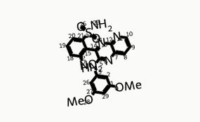 COc1cc(Nc2nc3cccnc3nc2-c2c([N+](=O)[O-])cccc2S(N)(=O)=O)cc(OC)c1